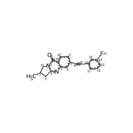 CC1Cc2nc3cc(C#Cc4cccc(F)c4)ccc3c(=O)n2C1